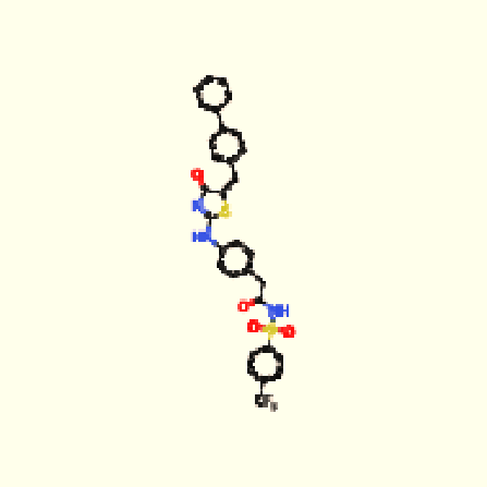 O=C(Cc1ccc(NC2=NC(=O)/C(=C\c3ccc(-c4ccccc4)cc3)S2)cc1)NS(=O)(=O)c1ccc(C(F)(F)F)cc1